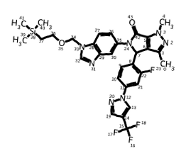 Cc1nn(C)c2c1C(c1ccc(-n3cc(C(F)(F)F)cn3)cc1F)N(c1ccc3c(c1)ncn3COCC[Si](C)(C)C)C2=O